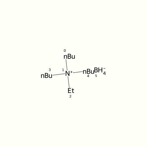 CCCC[N+](CC)(CCCC)CCCC.[BH4-]